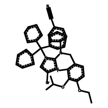 CCOc1ccc(CN(c2ccc(C#N)cc2)c2nc(Br)cn2C(c2ccccc2)(c2ccccc2)c2ccccc2)c(F)c1OC(C)C